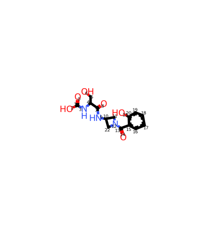 O=C(O)NC(CO)C(=O)NC1CN(C(=O)c2ccccc2O)C1